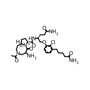 CC(=O)N1CC[C@H]2CC[C@@H](C(=O)N[C@@H](CCC(N)=O)COc3cccc(CCCCC(N)=O)c3Cl)N2C(=O)[C@@H](N)C1